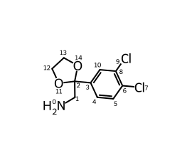 NCC1(c2ccc(Cl)c(Cl)c2)OCCO1